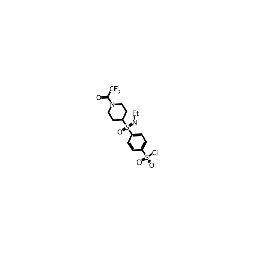 CCN=S(=O)(c1ccc(S(=O)(=O)Cl)cc1)C1CCN(C(=O)C(F)(F)F)CC1